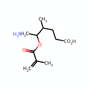 C=C(C)C(=O)OC(C)C(C)CCC(=O)O.N